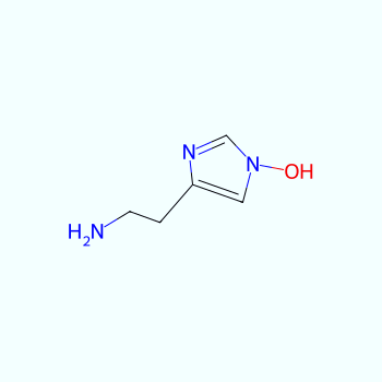 NCCc1cn(O)cn1